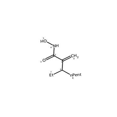 C=C(C(=O)NO)C(CC)CCCCC